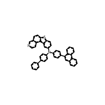 c1ccc(-c2ccc(N(c3ccc(-c4cc5ccccc5c5ccccc45)cc3)c3ccc4sc5ccc6cnccc6c5c4c3)cc2)cc1